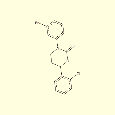 O=C1OC(c2ccccc2Cl)CCN1c1cccc(Br)c1